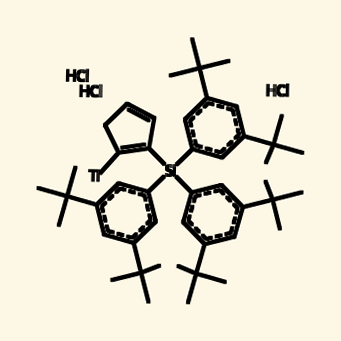 CC(C)(C)c1cc(C(C)(C)C)cc([Si](C2=[C]([Ti])CC=C2)(c2cc(C(C)(C)C)cc(C(C)(C)C)c2)c2cc(C(C)(C)C)cc(C(C)(C)C)c2)c1.Cl.Cl.Cl